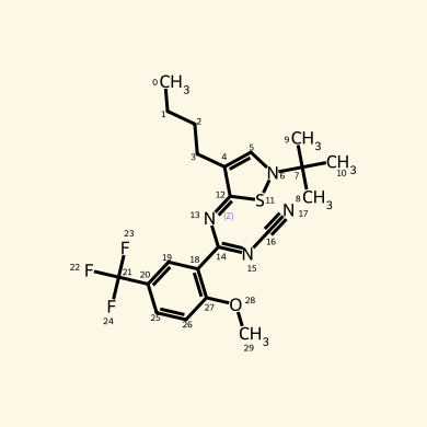 CCCCc1cn(C(C)(C)C)s/c1=N\C(=NC#N)c1cc(C(F)(F)F)ccc1OC